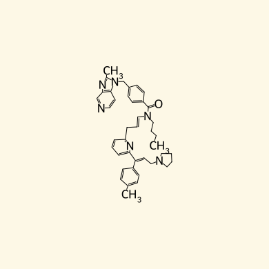 CCCCN(C=CCc1cccc(C(=CCN2CCCC2)c2ccc(C)cc2)n1)C(=O)c1ccc(Cn2c(C)nc3cnccc32)cc1